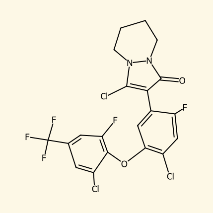 O=c1c(-c2cc(Oc3c(F)cc(C(F)(F)F)cc3Cl)c(Cl)cc2F)c(Cl)n2n1CCCC2